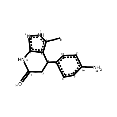 Cc1[nH]nc2c1C(c1ccc(N)cc1)CC(=O)N2